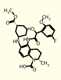 COC(=O)[C@@H]1CCC[C@@H](Nc2ccc3c(c2NC(=O)C(O)c2cc(F)ccc2OC)CC[C@H](C)N3C(=O)O)C1